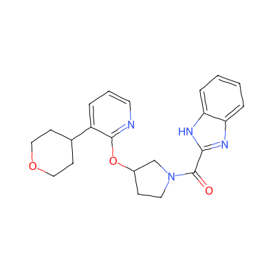 O=C(c1nc2ccccc2[nH]1)N1CCC(Oc2ncccc2C2CCOCC2)C1